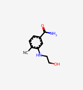 N#Cc1ccc(C(N)=O)cc1NCCO